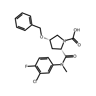 CN(C(=O)[C@@H]1C[C@H](OCc2ccccc2)CN1C(=O)O)c1ccc(F)c(Cl)c1